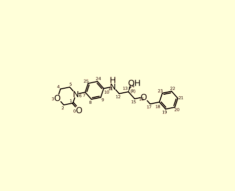 O=C1COCCN1c1ccc(NC[C@@H](O)COCc2ccccc2)cc1